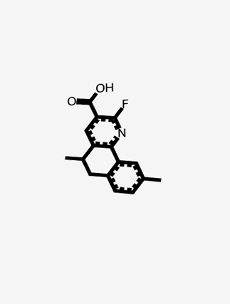 Cc1ccc2c(c1)-c1nc(F)c(C(=O)O)cc1C(C)C2